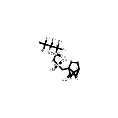 CC(F)(F)C(F)(F)C(F)(F)S(=O)(=O)CS(=O)(=O)CC12CCC(CC1=O)C2(C)C